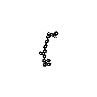 c1ccc(C2(c3ccccc3)c3ccccc3-c3c(-c4ccc5c6ccc(-c7ccc(-c8ccc(-c9ccc%10oc%11cc%12c(cc%11c%10c9)oc9ccccc9%12)cc8)cc7)cc6c6ccccc6c5c4)cccc32)cc1